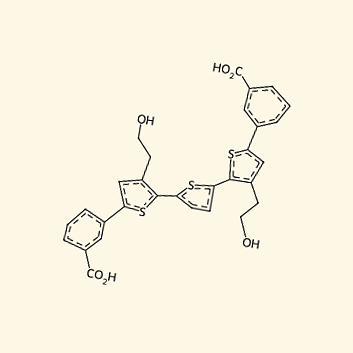 O=C(O)c1cccc(-c2cc(CCO)c(-c3ccc(-c4sc(-c5cccc(C(=O)O)c5)cc4CCO)s3)s2)c1